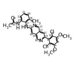 COc1cc(OC)c(Cl)c(-c2cc3cnc(Nc4c(C)cccc4NC(C)=O)cc3cn2)c1Cl